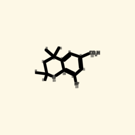 CC1(C)CC(C)(C)c2cc(C(=O)O)cc(Br)c2O1